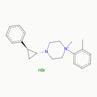 Br.Cc1ccccc1[N+]1(C)CCN([C@@H]2C[C@H]2c2ccccc2)CC1